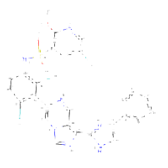 COc1ncc(F)cc1S(=O)(=O)Nc1ccc(F)c(-c2cn3cnc(-c4nc(-c5ccccc5)c[nH]4)c3cn2)c1F